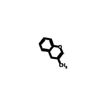 CC1=[C]Oc2ccccc2C1